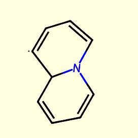 [C]1=CC=CN2C=CC=CC12